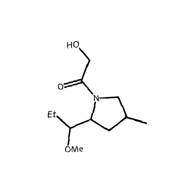 CCC(OC)C1CC(C)CN1C(=O)CO